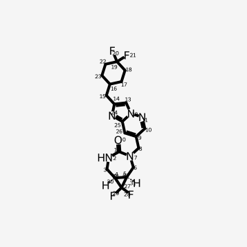 O=C1NC[C@H]2[C@@H](CN1Cc1cnn3cc(CC4CCC(F)(F)CC4)nc3c1)C2(F)F